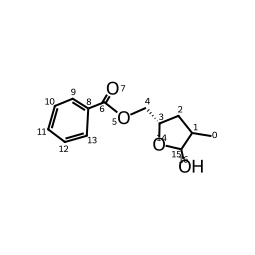 CC1C[C@@H](COC(=O)c2ccccc2)OC1O